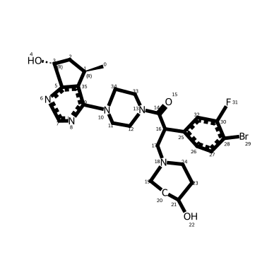 C[C@@H]1C[C@@H](O)c2ncnc(N3CCN(C(=O)C(CN4CCC(O)CC4)c4ccc(Br)c(F)c4)CC3)c21